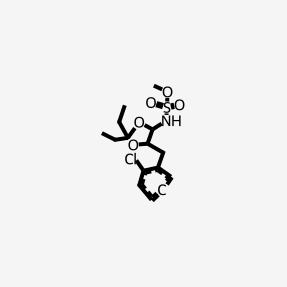 CCC1(CC)OC(Cc2ccccc2Cl)C(NS(=O)(=O)OC)O1